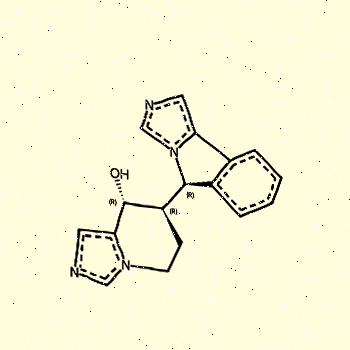 O[C@H]1c2cncn2CC[C@@H]1[C@@H]1c2ccccc2-c2cncn21